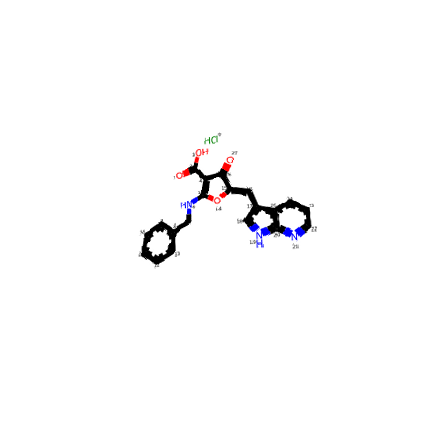 Cl.O=C(O)C1=C(NCc2ccccc2)OC(=Cc2c[nH]c3ncccc23)C1=O